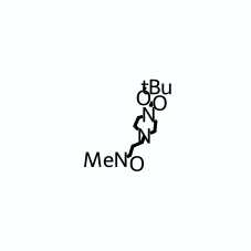 CNC(=O)CCN1CCN(C(=O)OC(C)(C)C)CC1